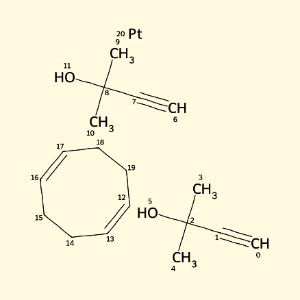 C#CC(C)(C)O.C#CC(C)(C)O.C1=CCCC=CCC1.[Pt]